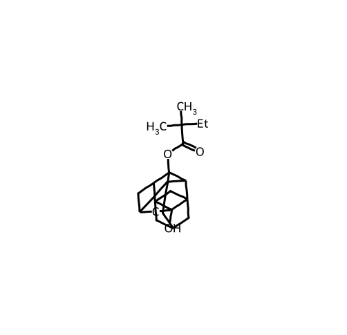 CCC(C)(C)C(=O)OC12CC3CC45CC6(C3)C1CC(CC24)CC56O